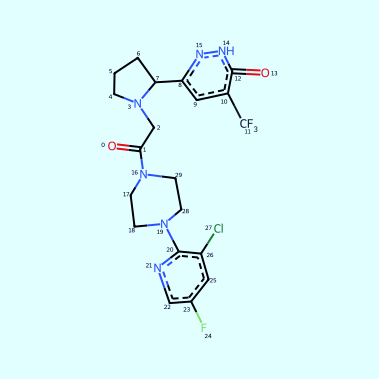 O=C(CN1CCCC1c1cc(C(F)(F)F)c(=O)[nH]n1)N1CCN(c2ncc(F)cc2Cl)CC1